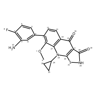 COc1c(-c2ccc(F)c(N)c2)ccc2c(=O)c3c(=O)[nH]sc3n(C3CC3)c12